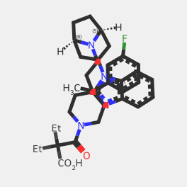 CCC(CC)(C(=O)O)C(=O)N1CCC(CCN2[C@@H]3CC[C@H]2CC(n2c(C)nc4ccccc42)C3)(c2cccc(F)c2)CC1